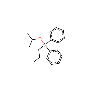 CCC[Si](OC(C)C)(c1ccccc1)c1ccccc1